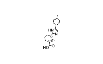 Cc1ccc(-c2cnc([C@@H]3CCCN(C(=O)O)[C@@H]3C)[nH]2)cc1